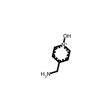 NCc1cc[n+](O)cc1